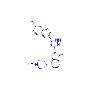 CN1CCN(c2cccc3[nH]c(-c4cc(-c5ccc6cc(O)ccc6c5)[nH]n4)cc23)CC1